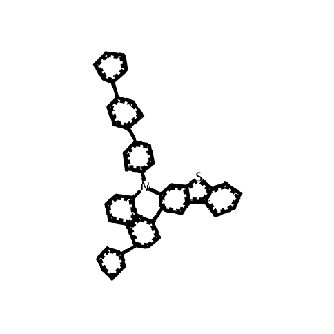 c1ccc(-c2ccc(-c3ccc(N(c4ccccc4)c4cc5sc6ccccc6c5cc4-c4ccc(-c5ccccc5)cc4)cc3)cc2)cc1